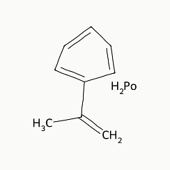 C=C(C)c1ccccc1.[PoH2]